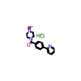 Cl.O=C(c1ccc(-c2ccccn2)cc1)N1CC[NH+]([O-])CC1